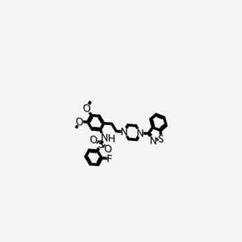 COc1cc(CCN2CCN(c3nsc4ccccc34)CC2)c(NS(=O)(=O)c2ccccc2F)cc1OC